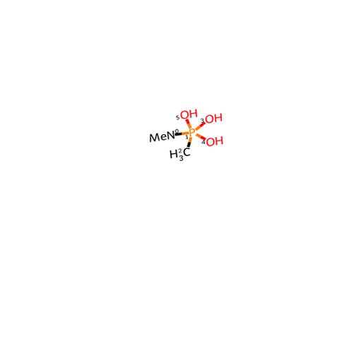 CNP(C)(O)(O)O